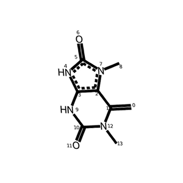 C=C1c2c([nH]c(=O)n2C)NC(=O)N1C